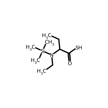 CCC(C(=O)S)N(CC)[Si](C)(C)C